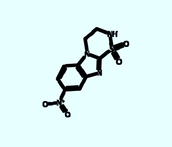 O=[N+]([O-])c1ccc2c(c1)nc1n2CCNS1(=O)=O